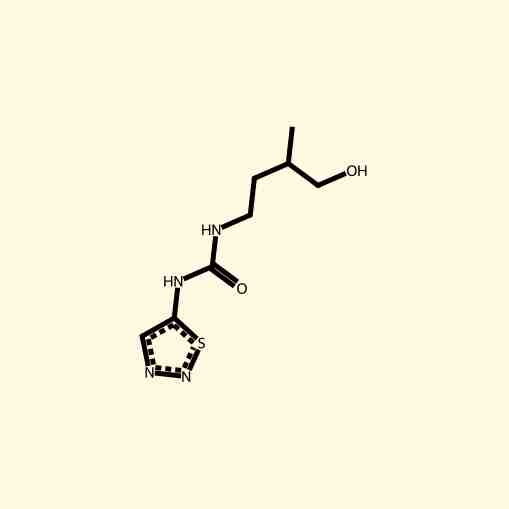 CC(CO)CCNC(=O)Nc1cnns1